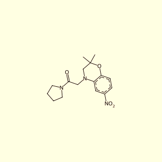 CC1(C)CN(CC(=O)N2CCCC2)c2cc([N+](=O)[O-])ccc2O1